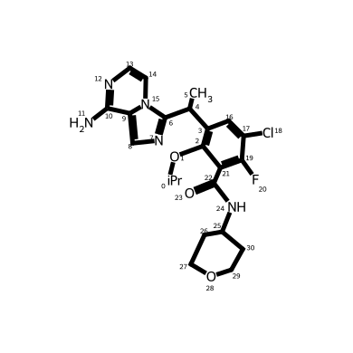 CC(C)Oc1c(C(C)c2ncc3c(N)nccn23)cc(Cl)c(F)c1C(=O)NC1CCOCC1